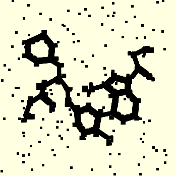 Cc1nn(C(=O)OC(C)(C)C)c2cccc(-c3cc(OC[C@H](Cc4ccccc4)NC(=O)OC(C)(C)C)cnc3Cl)c12